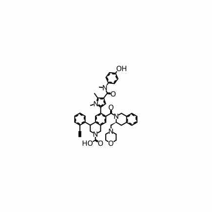 C#Cc1ccccc1C1CN(C(=O)O)Cc2cc(C(=O)N3Cc4ccccc4C[C@H]3CN3CCOCC3)c(-c3cc(C(=O)N(C)c4ccc(O)cc4)c(C)n3C)cc21